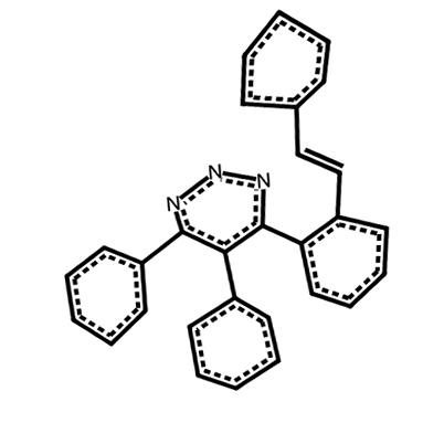 C(=Cc1ccccc1-c1nnnc(-c2ccccc2)c1-c1ccccc1)c1ccccc1